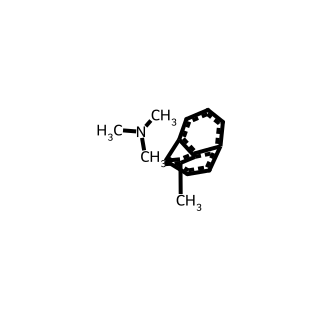 CN(C)C.Cc1c2ccc3cccc-2c13